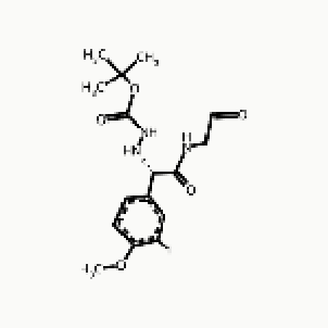 COc1ccc([C@H](NNC(=O)OC(C)(C)C)C(=O)NCC=O)cc1I